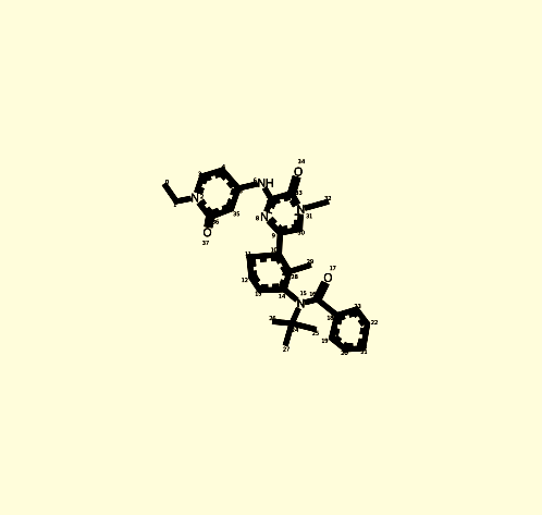 CCn1ccc(Nc2nc(-c3cccc(N(C(=O)c4ccccc4)C(C)(C)C)c3C)cn(C)c2=O)cc1=O